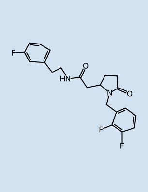 O=C(CC1CCC(=O)N1Cc1cccc(F)c1F)NCCc1cccc(F)c1